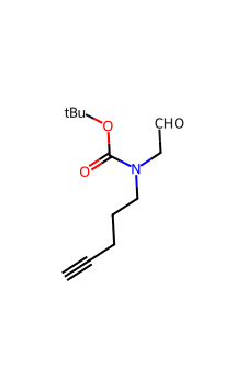 C#CCCCN(CC=O)C(=O)OC(C)(C)C